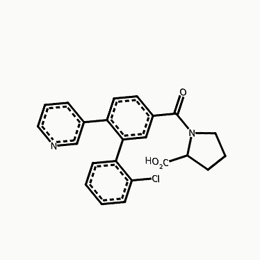 O=C(O)C1CCCN1C(=O)c1ccc(-c2cccnc2)c(-c2ccccc2Cl)c1